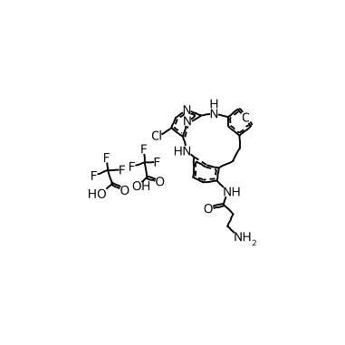 NCCC(=O)Nc1ccc2cc1CCc1cccc(c1)Nc1ncc(Cl)c(n1)N2.O=C(O)C(F)(F)F.O=C(O)C(F)(F)F